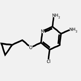 Nc1cc(Cl)c(OCC2CC2)nc1N